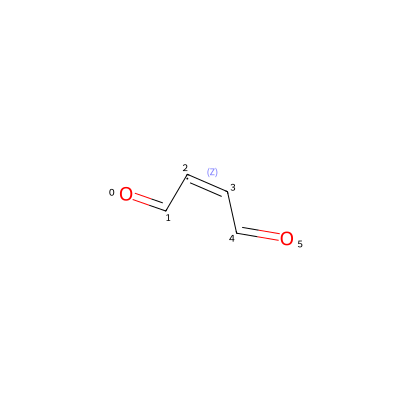 O=C/[C]=C\C=O